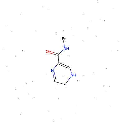 CCNC(=O)C1=CNCC=N1